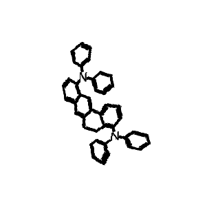 c1ccc(N(c2ccccc2)c2cccc3cc4ccc5c(N(c6ccccc6)c6ccccc6)cccc5c4cc23)cc1